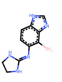 Bc1c(N=C2NCCN2)ccc2[nH]cnc12